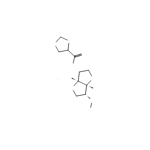 Cl.O=C(O[C@@H]1CO[C@H]2[C@@H]1OC[C@@H]2O[N+](=O)[O-])C1CSCN1